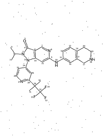 CC(C)n1c(=O)c2cnc(Nc3ccc4c(c3)CNCC4)cc2n1-c1ccnc(C(C)(C)C(F)(F)F)c1